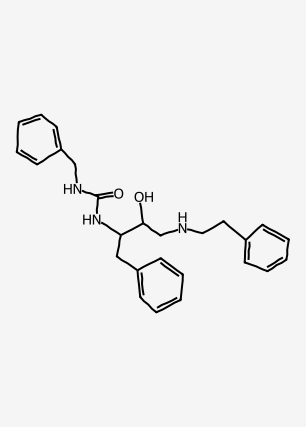 O=C(NCc1ccccc1)NC(Cc1ccccc1)C(O)CNCCc1ccccc1